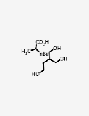 CCCCC(C)C(=O)O.OCCC(CO)CO